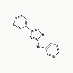 c1cncc(Nc2nc(-c3cccnc3)c[nH]2)c1